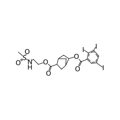 CS(=O)(=O)NCCOC(=O)C1CC2CC1CC2OC(=O)c1cc(I)cc(I)c1I